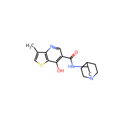 Cc1csc2c(O)c(C(=O)NC3CN4CCC3CC4)cnc12